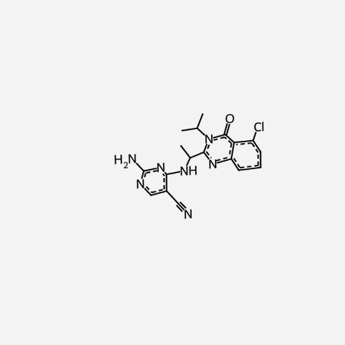 CC(Nc1nc(N)ncc1C#N)c1nc2cccc(Cl)c2c(=O)n1C(C)C